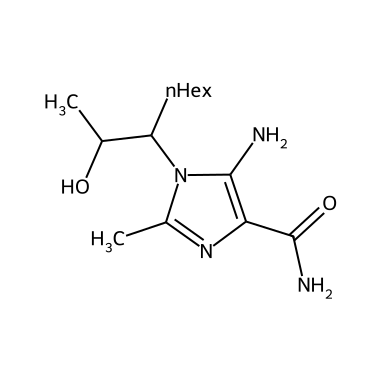 CCCCCCC(C(C)O)n1c(C)nc(C(N)=O)c1N